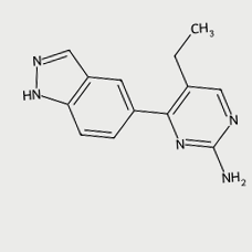 CCc1cnc(N)nc1-c1ccc2[nH]ncc2c1